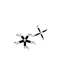 F[B-](F)(F)F.[CH2]=[U](=[CH2])(=[CH2])(=[CH2])=[CH2]